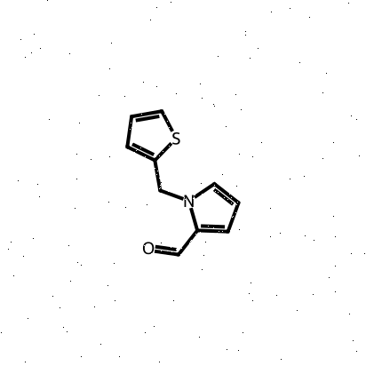 O=Cc1cccn1Cc1cccs1